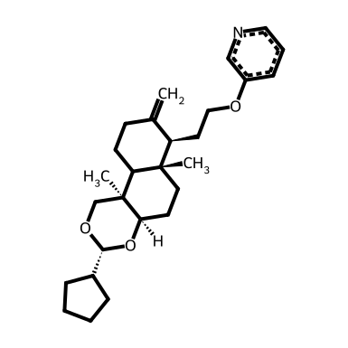 C=C1CCC2[C@]3(C)CO[C@@H](C4CCCC4)O[C@@H]3CC[C@@]2(C)[C@@H]1CCOc1cccnc1